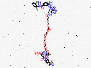 Cc1ncsc1-c1ccc(CNC(=O)C2C[C@@H](O)CN2C(=O)[C@@H](NC(=O)COCCOCCOCCOCCOCCOCCCCCC(=O)NCCCn2c(CNc3cccc(C(=O)NCc4c(F)cccc4F)c3)nnc2-c2ccncn2)C(C)(C)C)cc1